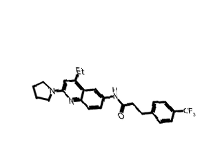 CCc1cc(N2CCCC2)nc2ccc(NC(=O)CCc3ccc(C(F)(F)F)cc3)cc12